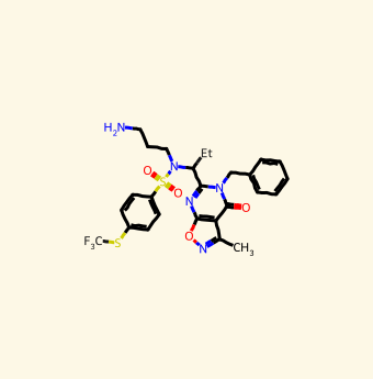 CCC(c1nc2onc(C)c2c(=O)n1Cc1ccccc1)N(CCCN)S(=O)(=O)c1ccc(SC(F)(F)F)cc1